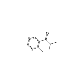 Cc1ncncc1C(=O)C(C)C